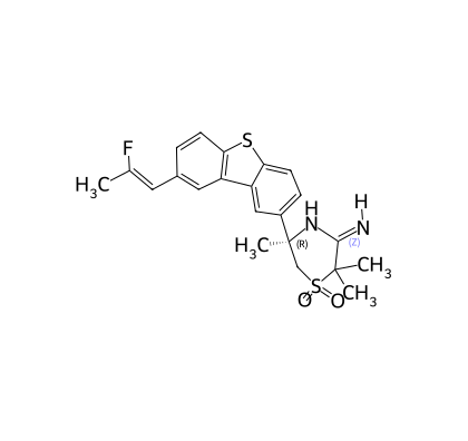 [H]/N=C1\N[C@](C)(c2ccc3sc4ccc(C=C(C)F)cc4c3c2)CS(=O)(=O)C1(C)C